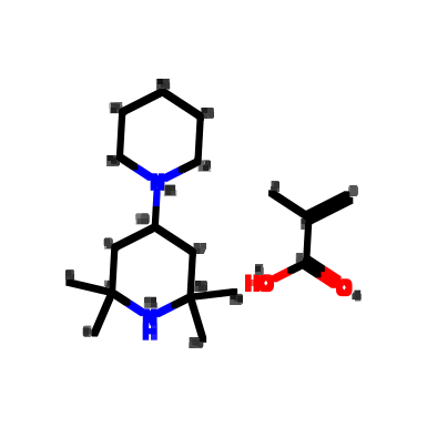 C=C(C)C(=O)O.CC1(C)CC(N2CCCCC2)CC(C)(C)N1